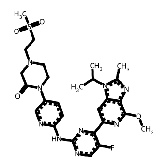 COc1nc(-c2nc(Nc3ccc(N4CCN(CCS(C)(=O)=O)CC4=O)cn3)ncc2F)cc2c1nc(C)n2C(C)C